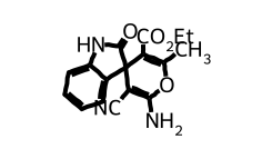 CCOC(=O)C1=C(C)OC(N)=C(C#N)C12C(=O)Nc1ccccc12